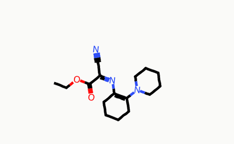 CCOC(=O)C(C#N)=NC1=C(N2CCCCC2)CCCC1